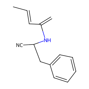 C=C(/C=C/C)NC(C#N)Cc1ccccc1